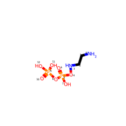 NCCNOP(=O)(O)OP(=O)(O)O